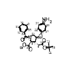 COC(=O)[C@@H]1[C@@H](CC(=O)OC(C)(C)C)[C@H](Oc2ccc(N)cc2)CN1C(=O)c1ccccc1